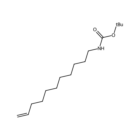 C=CCCCCCCCCCNC(=O)OC(C)(C)C